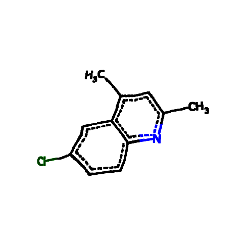 Cc1cc(C)c2cc(Cl)ccc2n1